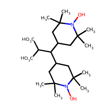 CC1(C)CC(C(C2CC(C)(C)N(O)C(C)(C)C2)C(C(=O)O)C(=O)O)CC(C)(C)N1O